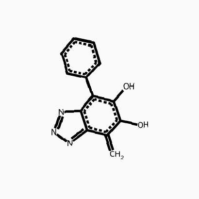 C=c1c(O)c(O)c(-c2ccccc2)c2c1=NN=N2